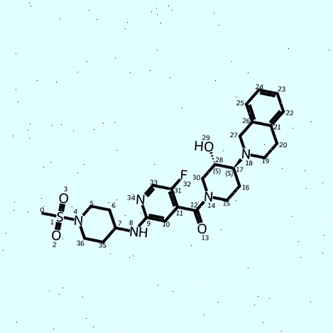 CS(=O)(=O)N1CCC(Nc2cc(C(=O)N3CC[C@H](N4CCc5ccccc5C4)[C@@H](O)C3)c(F)cn2)CC1